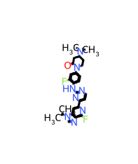 CC(C)n1cnc2c(F)nc(-c3ccnc(Nc4ccc(N5CCC(N(C)C)CC5=O)cc4F)n3)cc21